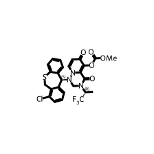 COC(=O)Oc1c2n(ccc1=O)N([C@@H]1c3ccccc3SCc3c(Cl)cccc31)CN([C@H](C)C(F)(F)F)C2=O